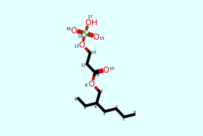 CCCCC(CC)COC(=O)CCOS(=O)(=O)O